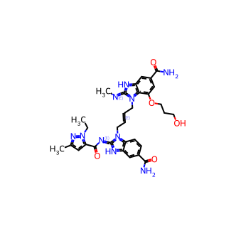 CCn1nc(C)cc1C(=O)/N=c1\[nH]c2cc(C(N)=O)ccc2n1C/C=C/Cn1/c(=N/C)[nH]c2cc(C(N)=O)cc(OCCCO)c21